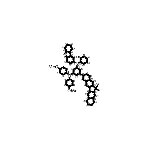 COc1ccc(N(c2ccc(OC)cc2)c2cc(-c3ccc4cc5c(cc4c3)-c3cc4ccccc4cc3C5(C)C)cc(N(c3ccccc3)c3ccc4sc5ccccc5c4c3)c2)cc1